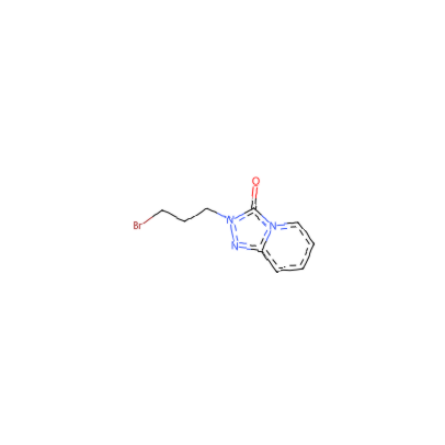 O=c1n(CCCBr)nc2ccccn12